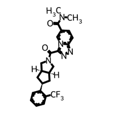 CN(C)C(=O)c1ccc2nnc(C(=O)N3C[C@H]4C[C@@H](c5ccccc5C(F)(F)F)C[C@H]4C3)n2c1